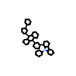 c1ccc(-c2cccc(-c3c4ccccc4c(-c4cccc(-c5cccc6c7ccccc7n(-c7ccccc7)c56)c4)c4ccccc34)c2)cc1